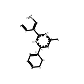 C=C/C(=C\CCC)c1nc(C)cc(C2=CC=CCC2)n1